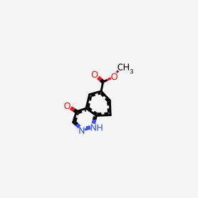 COC(=O)c1ccc2[nH]ncc(=O)c2c1